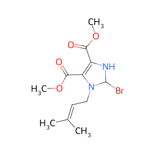 COC(=O)C1=C(C(=O)OC)N(CC=C(C)C)C(Br)N1